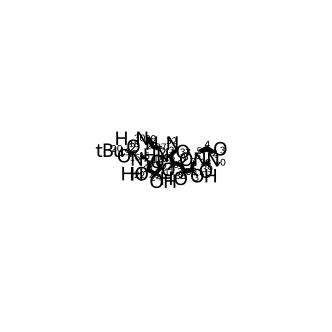 Cn1c(=O)ccn([C@@H]2O[C@H]([C@@H](O[C@@H]3O[C@H](CNC(=O)OC(C)(C)C)[C@@H](O)[C@H]3O)C(NCCCN)C(N)=O)[C@H](O)[C@@H]2O)c1=O